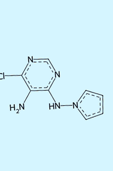 Nc1c(Cl)ncnc1Nn1cccc1